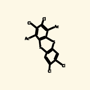 CC(=O)c1c(Cl)c(Cl)c(C(C)=O)c2c1Sc1cc(Cl)c(Cl)cc1S2